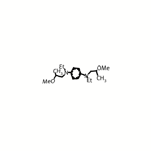 CCN(CC(C)OC)c1ccc(N(CC)CC(C)OC)cc1